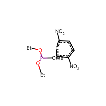 CCOP(OC)OCC.O=[N+]([O-])c1ccc([N+](=O)[O-])cc1